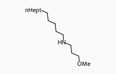 CCCCCCCCCCCCNCCCOC